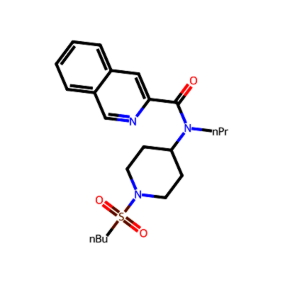 CCCCS(=O)(=O)N1CCC(N(CCC)C(=O)c2cc3ccccc3cn2)CC1